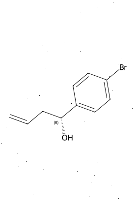 C=CC[C@@H](O)c1ccc(Br)cc1